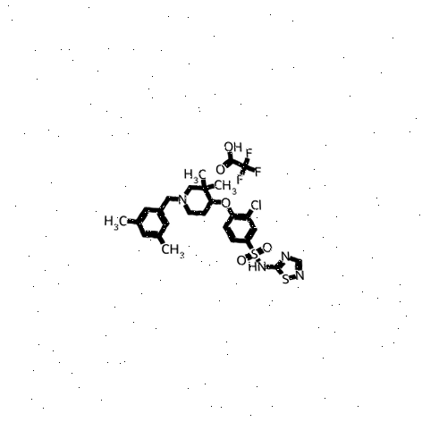 Cc1cc(C)cc(CN2CCC(Oc3ccc(S(=O)(=O)Nc4ncns4)cc3Cl)C(C)(C)C2)c1.O=C(O)C(F)(F)F